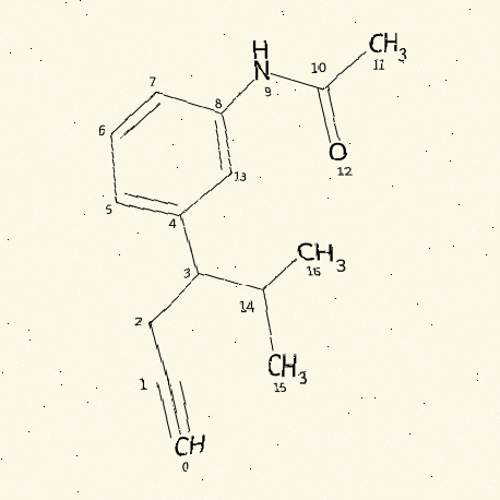 C#CCC(c1cccc(NC(C)=O)c1)C(C)C